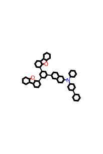 c1ccc(-c2ccc(N(c3ccccc3)c3ccc4cc(-c5cc(-c6cccc7c6oc6ccccc67)cc(-c6cccc7c6oc6ccccc67)c5)ccc4c3)cc2)cc1